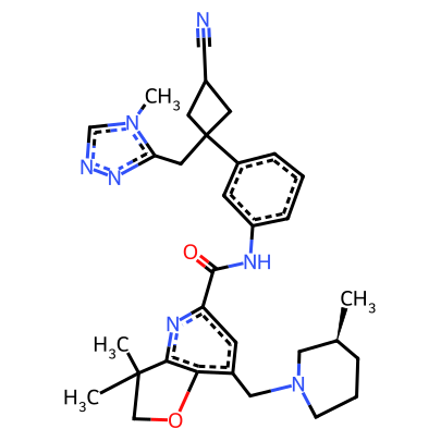 C[C@H]1CCCN(Cc2cc(C(=O)Nc3cccc(C4(Cc5nncn5C)CC(C#N)C4)c3)nc3c2OCC3(C)C)C1